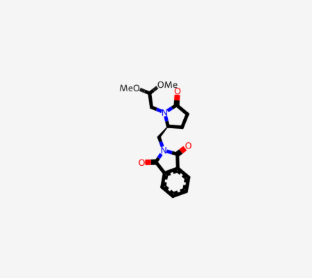 COC(CN1C(=O)CC[C@H]1CN1C(=O)c2ccccc2C1=O)OC